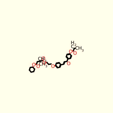 C=C(C)C(=O)Oc1ccc(C(=O)/C=C/c2ccc(OCCCOC(=O)C(C)(C)CC(=O)OC3CCCCC3)cc2)cc1